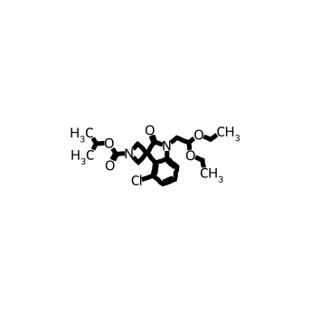 CCOC(CN1C(=O)C2(CN(C(=O)OC(C)C)C2)c2c(Cl)cccc21)OCC